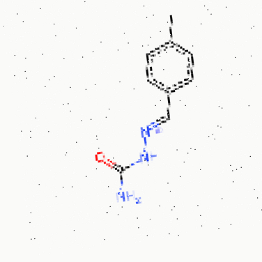 Cc1ccc(/C=N/NC(N)=O)cc1